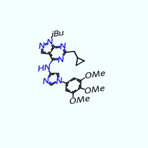 CCC(C)n1ncc2c(Nc3cn(-c4cc(OC)c(OC)c(OC)c4)cn3)nc(CC3CC3)nc21